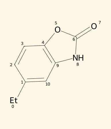 [CH2]Cc1ccc2oc(=O)[nH]c2c1